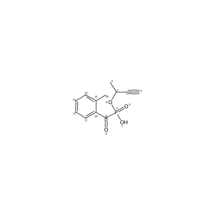 C#CC(C)OP(=O)(O)C(=O)c1ccccc1C